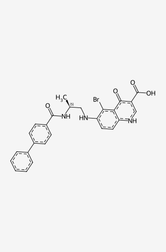 C[C@@H](CNc1ccc2[nH]cc(C(=O)O)c(=O)c2c1Br)NC(=O)c1ccc(-c2ccccc2)cc1